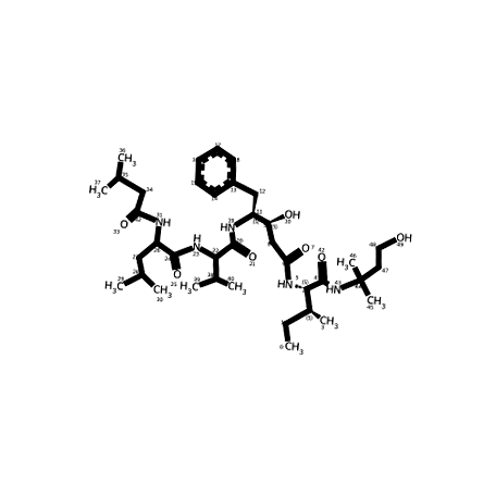 CC[C@H](C)[C@H](NC(=O)C[C@H](O)[C@H](Cc1ccccc1)NC(=O)C(NC(=O)C(CC(C)C)NC(=O)CC(C)C)C(C)C)C(=O)NC(C)(C)CCO